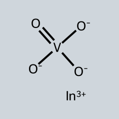 [In+3].[O]=[V]([O-])([O-])[O-]